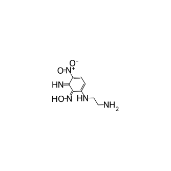 N=C1C([N+](=O)[O-])=CC=C(NCCN)/C1=N/O